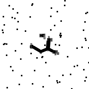 Cl.N=C(N)CCl